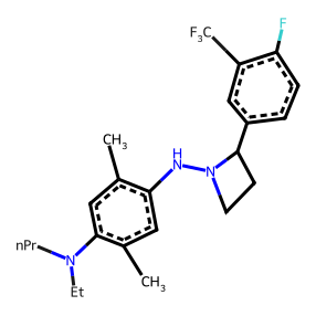 CCCN(CC)c1cc(C)c(NN2CCC2c2ccc(F)c(C(F)(F)F)c2)cc1C